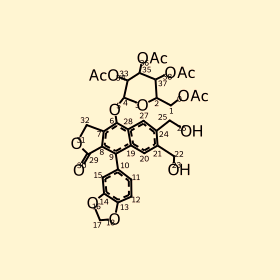 CC(=O)OCC1OC(Oc2c3c(c(-c4ccc5c(c4)OCO5)c4cc(CO)c(CO)cc24)C(=O)OC3)C(OC(C)=O)C(OC(C)=O)C1OC(C)=O